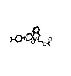 CC(=O)OCCN1Cc2ccccc2C2(CCN(C3CCC(C(C)C)CC3)CC2)C1=O